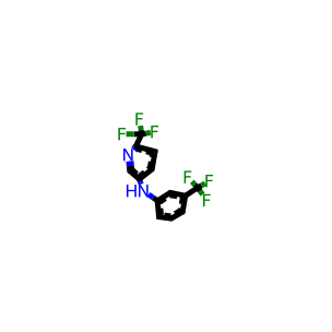 FC(F)(F)c1cccc(Nc2ccc(C(F)(F)F)nc2)c1